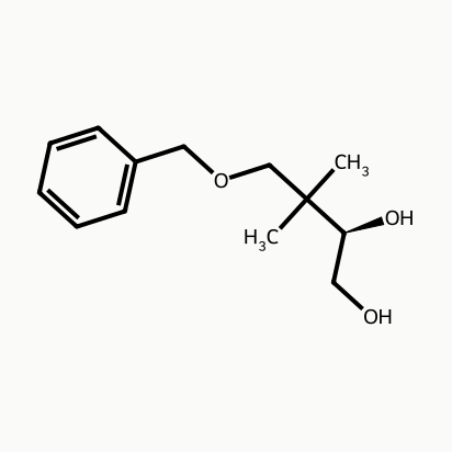 CC(C)(COCc1ccccc1)[C@@H](O)CO